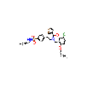 C#CCNS(=O)(=O)c1ccc(CCN(Cc2cc(Cl)ccc2OCCC)C(=O)c2ccsc2)cc1